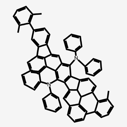 Cc1cccc(C)c1C1=CC=C2c3c(c(N(c4ccccc4)c4ccccc4)c4c(cc5c6c(cccc64)-c4cc(-c6c(C)cccc6C)ccc4-5)c3N(c3ccccc3)c3ccccc3)C3=Cc4ccccc4C1C23